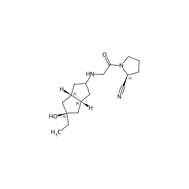 CC[C@@]1(O)C[C@H]2CC(NCC(=O)N3CCC[C@H]3C#N)C[C@H]2C1